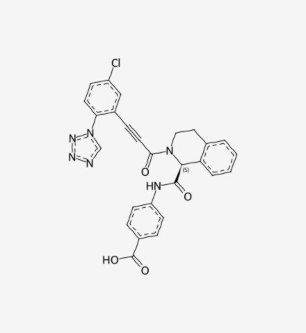 O=C(O)c1ccc(NC(=O)[C@@H]2c3ccccc3CCN2C(=O)C#Cc2cc(Cl)ccc2-n2cnnn2)cc1